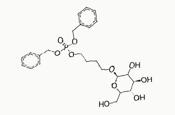 O=P(OCCCCO[C@@H]1OC(CO)[C@@H](O)[C@H](O)C1O)(OCc1ccccc1)OCc1ccccc1